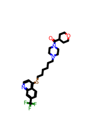 O=C(C1CCOCC1)N1CCN(CCCCCCSc2ccnc3cc(C(F)(F)F)ccc23)CC1